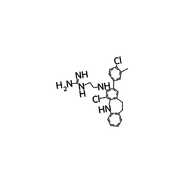 Cc1cc(-c2cc3c(c(Cl)c2NCCNC(=N)N)Nc2ccccc2CC3)ccc1Cl